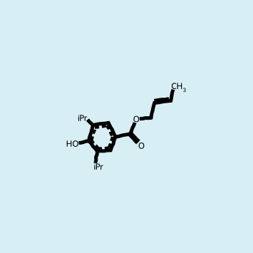 CC=CCOC(=O)c1cc(C(C)C)c(O)c(C(C)C)c1